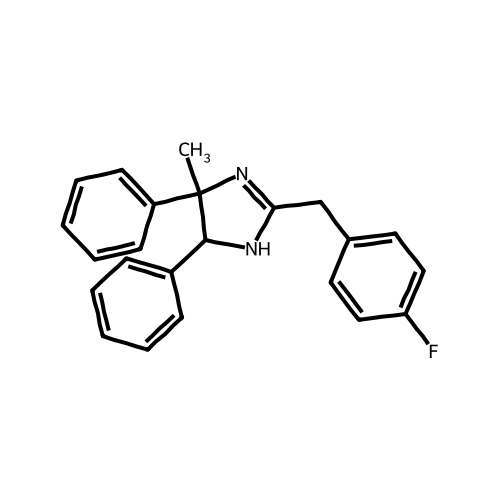 CC1(c2ccccc2)N=C(Cc2ccc(F)cc2)NC1c1ccccc1